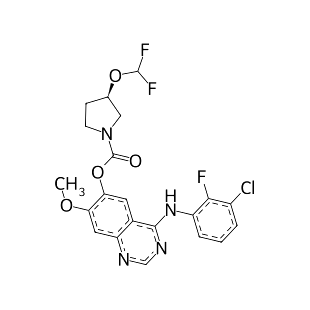 COc1cc2ncnc(Nc3cccc(Cl)c3F)c2cc1OC(=O)N1CC[C@@H](OC(F)F)C1